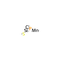 [C].[Mn].[P].[S].[Si]